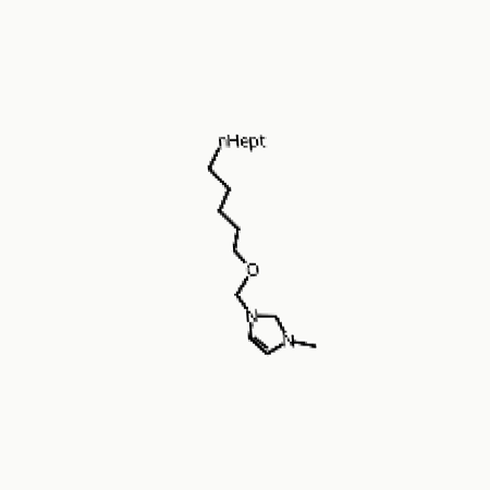 CCCCCCCCCCCCOCN1C=CN(C)C1